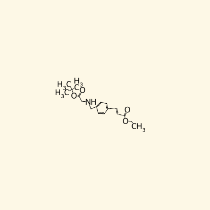 CCOC(=O)/C=C/c1ccc(CNCC(=O)OC(C)(C)C)cc1